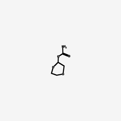 NC(=O)OC1COCCO1